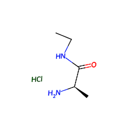 CCNC(=O)[C@@H](C)N.Cl